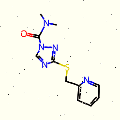 CN(C)C(=O)n1cnc(SCc2ccccn2)n1